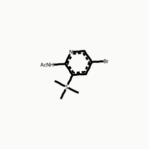 CC(=O)Nc1ncc(Br)cc1S(C)(C)C